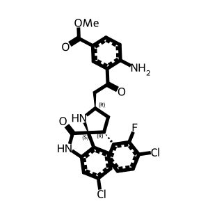 COC(=O)c1ccc(N)c(C(=O)C[C@H]2C[C@H](c3cccc(Cl)c3F)[C@@]3(N2)C(=O)Nc2cc(Cl)ccc23)c1